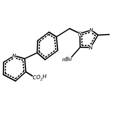 CCCCc1nc(C)nn1Cc1ccc(-c2ncccc2C(=O)O)cc1